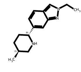 CCn1cc2ccc([C@H]3CC[C@H](C)CN3)cc2n1